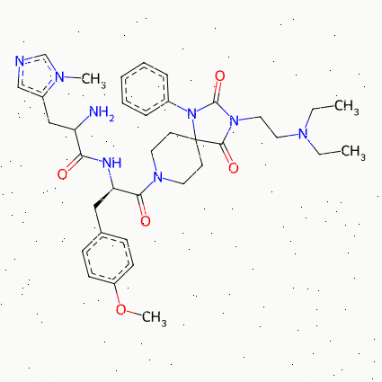 CCN(CC)CCN1C(=O)N(c2ccccc2)C2(CCN(C(=O)[C@@H](Cc3ccc(OC)cc3)NC(=O)C(N)Cc3cncn3C)CC2)C1=O